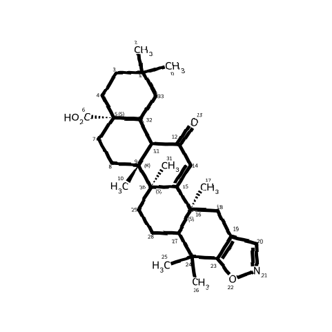 CC1(C)CC[C@]2(C(=O)O)CC[C@]3(C)C(C(=O)C=C4[C@@]5(C)Cc6cnoc6C(C)(C)C5CC[C@]43C)C2C1